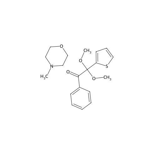 CN1CCOCC1.COC(OC)(C(=O)c1ccccc1)c1cccs1